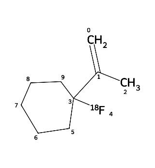 C=C(C)C1([18F])CCCCC1